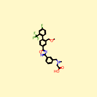 COCc1cc(-c2nc(-c3cccc(CN(C)CC(=O)O)c3)no2)ccc1-c1ccc(F)cc1C(F)(F)F